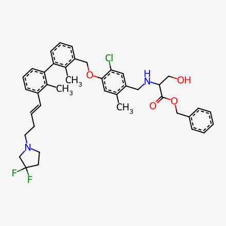 Cc1cc(OCc2cccc(-c3cccc(/C=C/CCN4CCC(F)(F)C4)c3C)c2C)c(Cl)cc1CNC(CO)C(=O)OCc1ccccc1